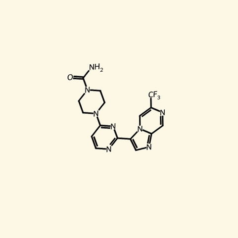 NC(=O)N1CCN(c2ccnc(-c3cnc4cnc(C(F)(F)F)cn34)n2)CC1